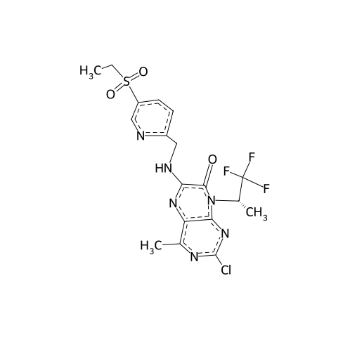 CCS(=O)(=O)c1ccc(CNc2nc3c(C)nc(Cl)nc3n([C@@H](C)C(F)(F)F)c2=O)nc1